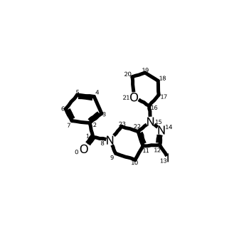 O=C(c1ccccc1)N1CCc2c(I)nn(C3CCCCO3)c2C1